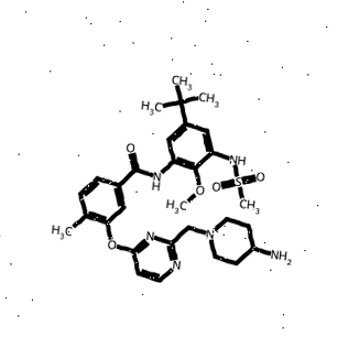 COc1c(NC(=O)c2ccc(C)c(Oc3ccnc(CN4CCC(N)CC4)n3)c2)cc(C(C)(C)C)cc1NS(C)(=O)=O